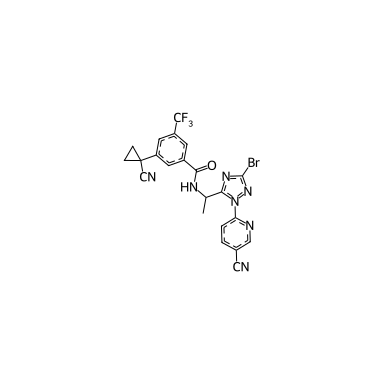 CC(NC(=O)c1cc(C(F)(F)F)cc(C2(C#N)CC2)c1)c1nc(Br)nn1-c1ccc(C#N)cn1